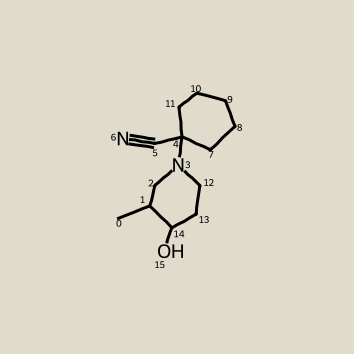 CC1CN(C2(C#N)CCCCC2)CCC1O